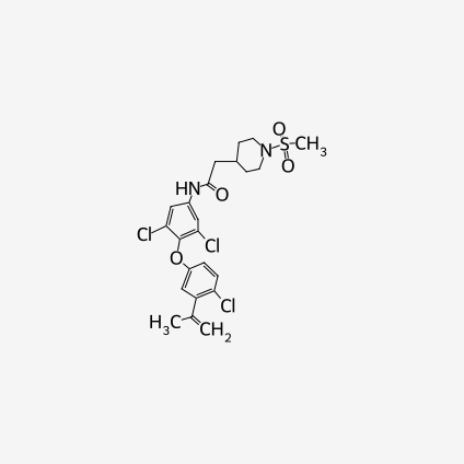 C=C(C)c1cc(Oc2c(Cl)cc(NC(=O)CC3CCN(S(C)(=O)=O)CC3)cc2Cl)ccc1Cl